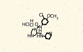 COc1ccc(NC(=O)N2CCNCC2CNc2cccnc2)cc1Cl.Cl.Cl